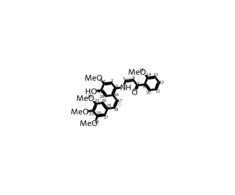 COc1cc(N/C=C\C(=O)c2ccccc2OC)c(/C=C\c2cc(OC)c(OC)c(OC)c2)cc1O